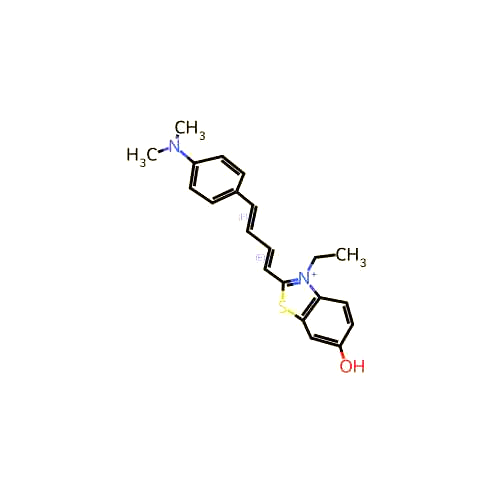 CC[n+]1c(/C=C/C=C/c2ccc(N(C)C)cc2)sc2cc(O)ccc21